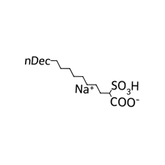 CCCCCCCCCCCCCCCCCCC(C(=O)[O-])S(=O)(=O)O.[Na+]